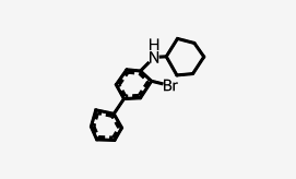 Brc1cc(-c2ccccc2)ccc1NC1CCCCC1